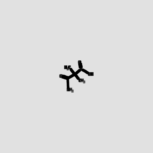 CC(C)(C(N)=O)S(=O)O